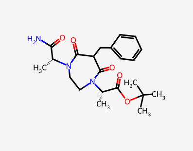 C[C@H](C(N)=O)N1CCN([C@@H](C)C(=O)OC(C)(C)C)C(=O)C(Cc2ccccc2)C1=O